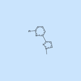 CC(C)c1cccc(-c2ccn(C)n2)n1